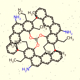 CCc1c(CC)c(OB(Oc2c(CC)c(CC)c(CC)c3c(N)cc4cc5ccccc5cc4c23)Oc2c(CC)c(CC)c(CC)c3c(N)cc4cc5ccccc5cc4c23)c2c(c(N)cc3cc4ccccc4cc32)c1CC